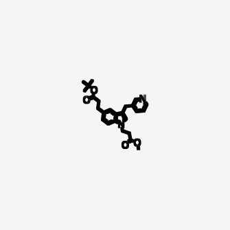 COC(=O)CCn1cc(Cc2cccnc2)c2cc(CCC(=O)OC(C)(C)C)ccc21